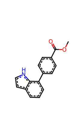 COC(=O)c1ccc(-c2cccc3cc[nH]c23)cc1